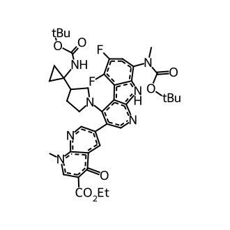 CCOC(=O)c1cn(C)c2ncc(-c3cnc4[nH]c5c(N(C)C(=O)OC(C)(C)C)cc(F)c(F)c5c4c3N3CCC(C4(NC(=O)OC(C)(C)C)CC4)C3)cc2c1=O